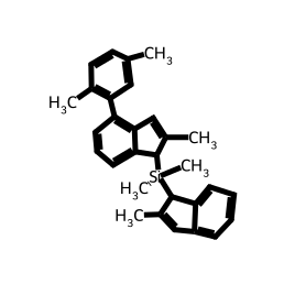 CC1=Cc2ccccc2C1[Si](C)(C)C1C(C)=Cc2c(-c3cc(C)ccc3C)cccc21